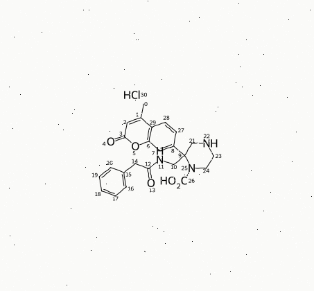 Cc1cc(=O)oc2cc(C3(CNC(=O)Cc4ccccc4)CNCCN3C(=O)O)ccc12.Cl